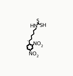 O=[N+]([O-])c1ccc([CH]CCCCCNC(=S)S)c([N+](=O)[O-])c1